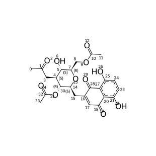 CC(=O)C[C@H]1[C@H](O)[C@@H](COC(C)=O)O[C@@H](CC2=CC(=O)c3c(O)ccc(O)c3C2=O)[C@@H]1OC(C)=O